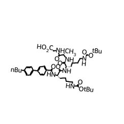 CCCCc1ccc(-c2ccc(C(=O)N[C@@H](CCCCNC(=O)OC(C)(C)C)C(=O)N[C@@H](CCCCNC(=O)OC(C)(C)C)C(=O)N[C@@H](C)C(=O)NCC(=O)O)cc2)cc1